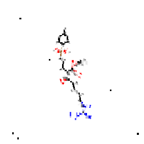 Cc1ccc(S(=O)(=O)CCCC(C(=O)CCC=CNC(=N)N)C(=O)OC(C)(C)C)cc1